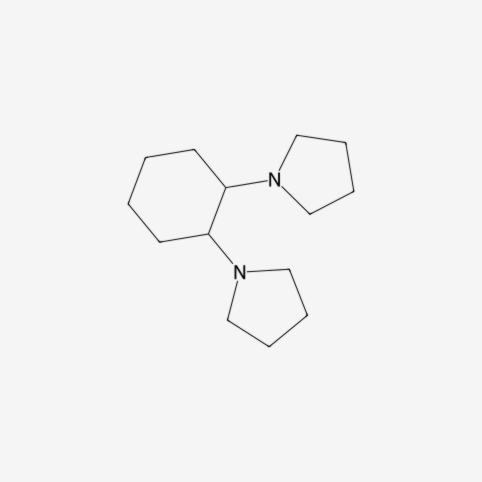 C1CCC(N2CCCC2)C(N2CCCC2)C1